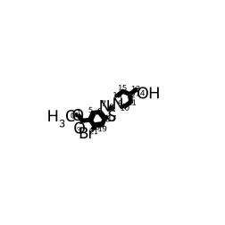 COC(=O)c1cc2nc(N3CCC(CO)CC3)sc2cc1Br